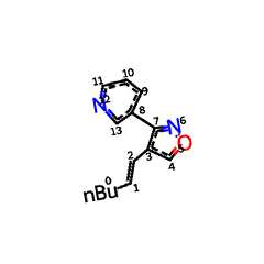 CCCCC=Cc1conc1-c1cccnc1